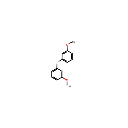 CC(C)(C)Oc1cccc([I+]c2cccc(OC(C)(C)C)c2)c1